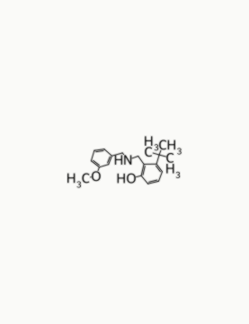 COc1cccc(CNCc2c(O)cccc2C(C)(C)C)c1